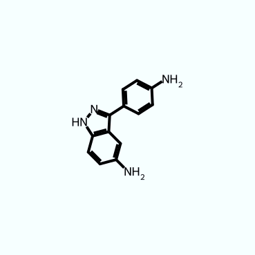 Nc1ccc(-c2n[nH]c3ccc(N)cc23)cc1